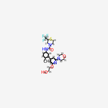 Cc1ccc(NC(=O)N2CCSC(C(F)(F)F)C2)cc1-c1cc(OCCO)nc(N2CCOCC2)c1